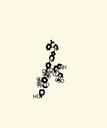 CC(C)c1ccccc1[C@H]1CCCN1C1CC2(CCN(c3ccc(C(=O)NS(=O)(=O)c4cc5c(c([N+](=O)[O-])c4)N[C@@H](C4CCC(C)(O)CC4)CO5)c(Oc4cc5cc[nH]c5nc4OC[C@H]4CCCN4S(C)(=O)=O)c3)CC2)C1